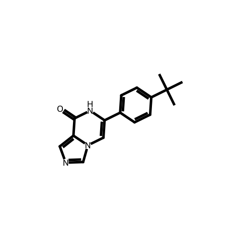 CC(C)(C)c1ccc(-c2cn3cncc3c(=O)[nH]2)cc1